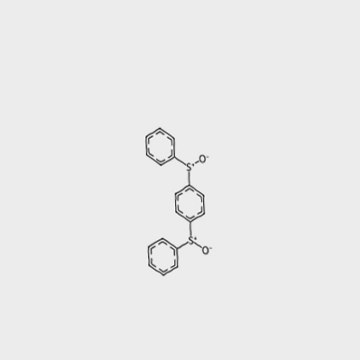 [O-][S+](c1ccccc1)c1ccc([S+]([O-])c2ccccc2)cc1